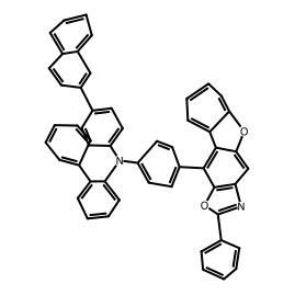 c1ccc(-c2nc3cc4oc5ccccc5c4c(-c4ccc(N(c5ccc(-c6ccc7ccccc7c6)cc5)c5ccccc5-c5ccccc5)cc4)c3o2)cc1